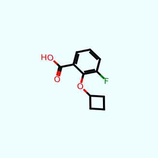 O=C(O)c1cccc(F)c1OC1CCC1